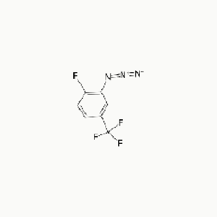 [N-]=[N+]=Nc1cc(C(F)(F)F)ccc1F